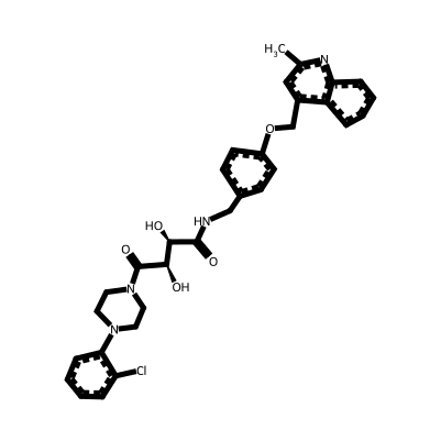 Cc1cc(COc2ccc(CNC(=O)[C@H](O)[C@@H](O)C(=O)N3CCN(c4ccccc4Cl)CC3)cc2)c2ccccc2n1